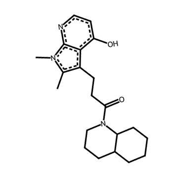 Cc1c(CCC(=O)N2CCCC3CCCCC32)c2c(O)ccnc2n1C